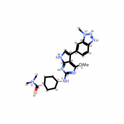 COc1nc(N[C@H]2CC[C@@H](C(=O)N(C)C)CC2)nc2[nH]cc(-c3ccc4nnn(C)c4c3)c12